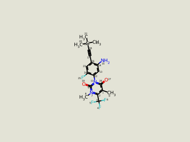 Cc1c(C(F)(F)F)n(C)c(=O)n(-c2cc(N)c(C#C[Si](C)(C)C)cc2F)c1=O